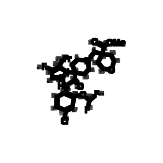 COC(=O)C1(CN2CCC(C(=O)Nc3ccc(Cl)cc3OC(F)F)(n3ncc(F)c3C(C)C)CC2)CCOCC1